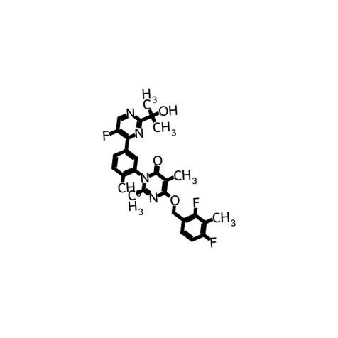 Cc1ccc(-c2nc(C(C)(C)O)ncc2F)cc1-n1c(C)nc(OCc2ccc(F)c(C)c2F)c(C)c1=O